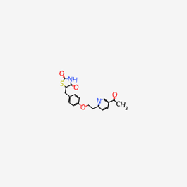 CC(=O)c1ccc(CCOc2ccc(C[C@H]3SC(=O)NC3=O)cc2)nc1